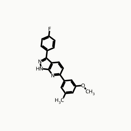 COc1cc(C)cc(-c2ccc3c(-c4ccc(F)cc4)n[nH]c3n2)c1